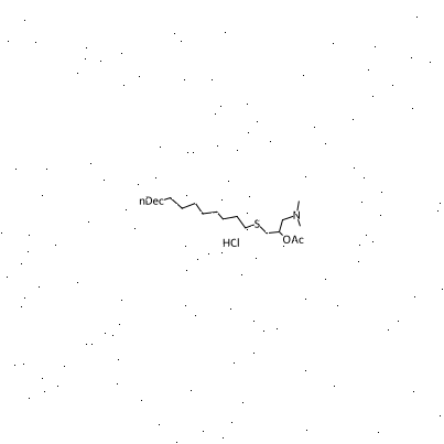 CCCCCCCCCCCCCCCCCCSCC(CN(C)C)OC(C)=O.Cl